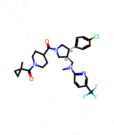 CN(C[C@H]1CN(C(=O)C2CCN(C(=O)C3(C)CC3)CC2)C[C@@H]1c1ccc(Cl)cc1)c1ccc(C(F)(F)F)cn1